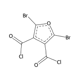 O=C(Cl)c1c(Br)oc(Br)c1C(=O)Cl